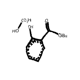 CC(C)COC(=O)c1ccccc1O.O=C(O)O